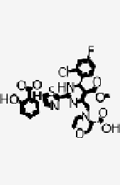 COC(=O)C1=C(CN2CCOC[C@H]2C(=O)O)N=C(c2nccs2)N[C@H]1c1ccc(F)cc1Cl.O=C(O)c1ccccc1O